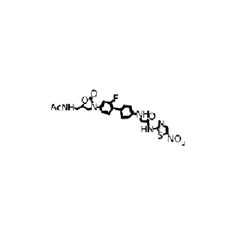 CC(=O)NCC1CN(c2ccc(-c3ccc(NCC(=O)Nc4ncc([N+](=O)[O-])s4)cc3)c(F)c2)C(=O)O1